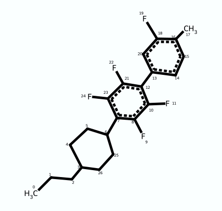 CCCC1CCC(c2c(F)c(F)c(-c3ccc(C)c(F)c3)c(F)c2F)CC1